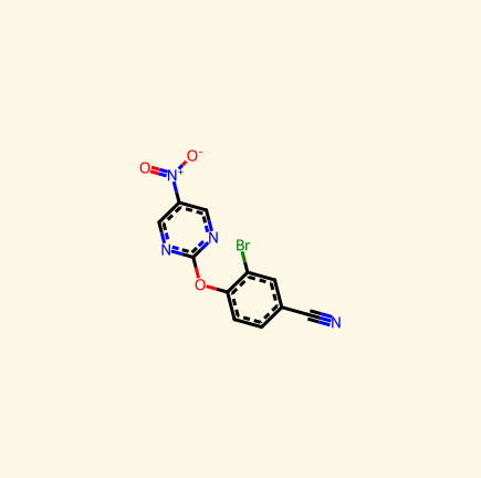 N#Cc1ccc(Oc2ncc([N+](=O)[O-])cn2)c(Br)c1